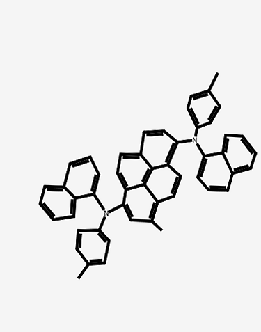 Cc1ccc(N(c2cccc3ccccc23)c2ccc3ccc4c(N(c5ccc(C)cc5)c5cccc6ccccc56)cc(C)c5ccc2c3c54)cc1